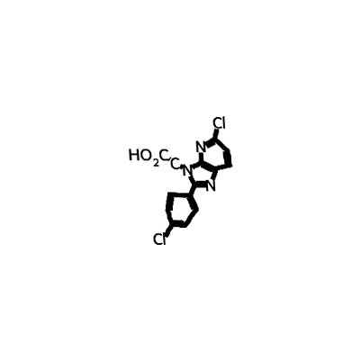 O=C(O)Cn1c(-c2ccc(Cl)cc2)nc2ccc(Cl)nc21